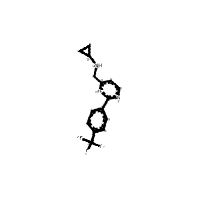 FC(F)(F)c1ccc(-c2nccc(CNC3CC3)n2)cc1